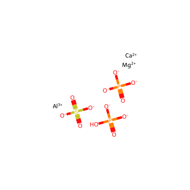 O=P([O-])([O-])O.O=P([O-])([O-])[O-].O=S(=O)([O-])[O-].[Al+3].[Ca+2].[Mg+2]